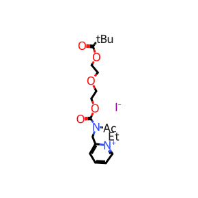 CC[n+]1ccccc1CN(C(C)=O)C(=O)OCCOCCOC(=O)C(C)(C)C.[I-]